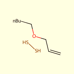 C=CCOCCCCC.SS